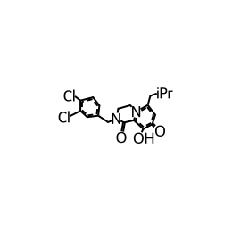 CC(C)Cc1cc(=O)c(O)c2n1CCN(Cc1ccc(Cl)c(Cl)c1)C2=O